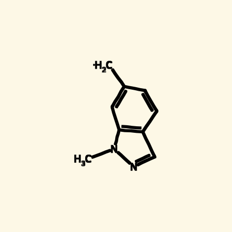 [CH2]c1ccc2cnn(C)c2c1